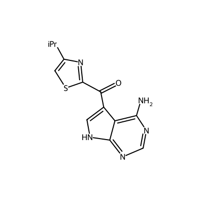 CC(C)c1csc(C(=O)c2c[nH]c3ncnc(N)c23)n1